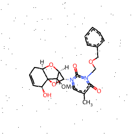 CO[C@H]1[C@H]2O[C@@H]3CC=C[C@H](O)[C@]31O[C@H]2n1cc(C)c(=O)n(COCc2ccccc2)c1=O